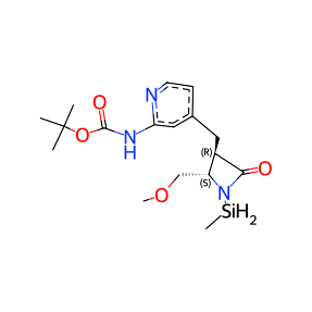 COC[C@@H]1[C@@H](Cc2ccnc(NC(=O)OC(C)(C)C)c2)C(=O)N1[SiH2]C